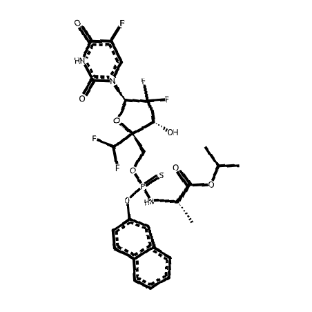 CC(C)OC(=O)[C@H](C)NP(=S)(OC[C@@]1(C(F)F)O[C@@H](n2cc(F)c(=O)[nH]c2=O)C(F)(F)[C@@H]1O)Oc1ccc2ccccc2c1